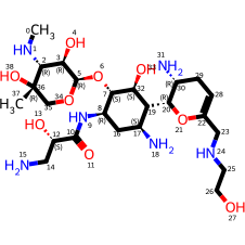 CN[C@@H]1[C@@H](O)[C@@H](O[C@H]2[C@H](NC(=O)[C@@H](O)CN)C[C@H](N)C([C@H]3OC(CNCCO)=CC[C@H]3N)[C@@H]2O)OC[C@]1(C)O